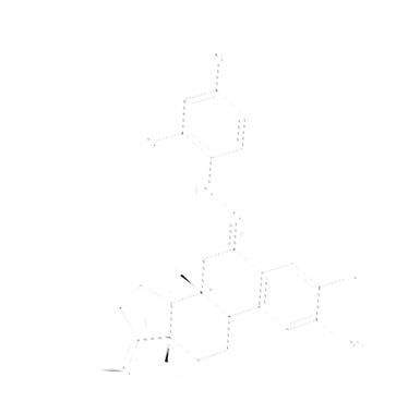 COc1cc2c(cc1O)/C(=N/Nc1ccc([N+](=O)[O-])cc1[N+](=O)[O-])C[C@@H]1[C@@H]2CC[C@]2(C)/C(=N/O)CC[C@@H]12